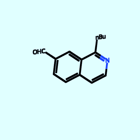 CCCCc1nccc2ccc(C=O)cc12